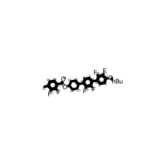 CCCCOc1ccc(-c2ccc(C3=CCC(OC(=O)c4ccc(C)c(F)c4F)CC3)c(F)c2F)c(F)c1F